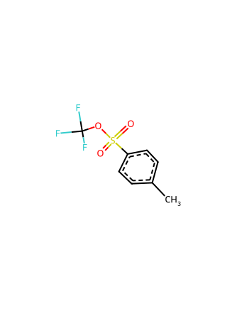 Cc1ccc(S(=O)(=O)OC(F)(F)F)cc1